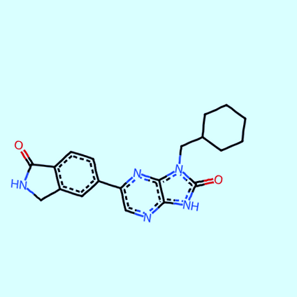 O=C1NCc2cc(-c3cnc4[nH]c(=O)n(CC5CCCCC5)c4n3)ccc21